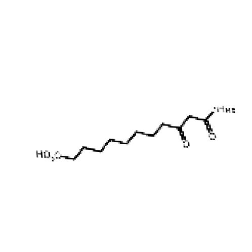 CCCCCCC(=O)CC(=O)CCCCCCCCC(=O)O